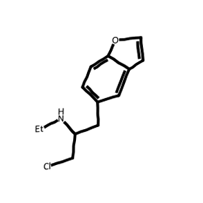 CCNC(CCl)Cc1ccc2occc2c1